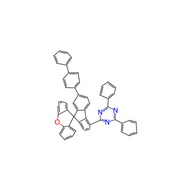 c1ccc(-c2ccc(-c3ccc4c(c3)C3(c5ccccc5Oc5ccccc53)c3cccc(-c5nc(-c6ccccc6)nc(-c6ccccc6)n5)c3-4)cc2)cc1